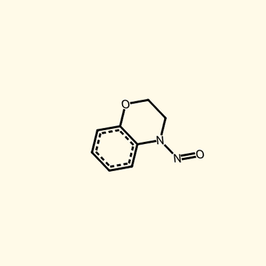 O=NN1CCOc2ccccc21